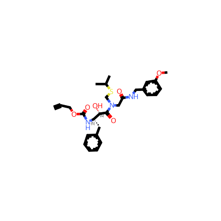 C#CCOC(=O)N[C@@H](Cc1ccccc1)[C@H](O)C(=O)N(CSC(C)C)CC(=O)NCc1cccc(OC)c1